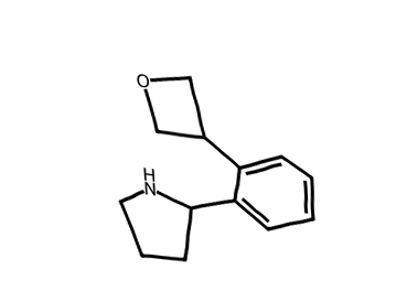 c1ccc(C2CCCN2)c(C2COC2)c1